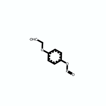 O=[C]COc1ccc(OP=O)cc1